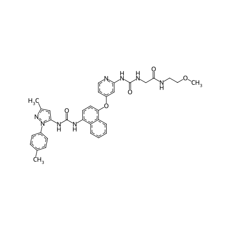 COCCNC(=O)CNC(=O)Nc1cc(Oc2ccc(NC(=O)Nc3cc(C)nn3-c3ccc(C)cc3)c3ccccc23)ccn1